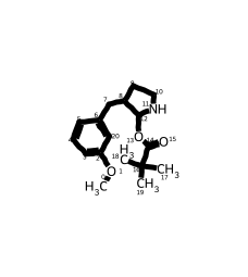 COc1cccc(CC2CCNC2OC(=O)C(C)(C)C)c1